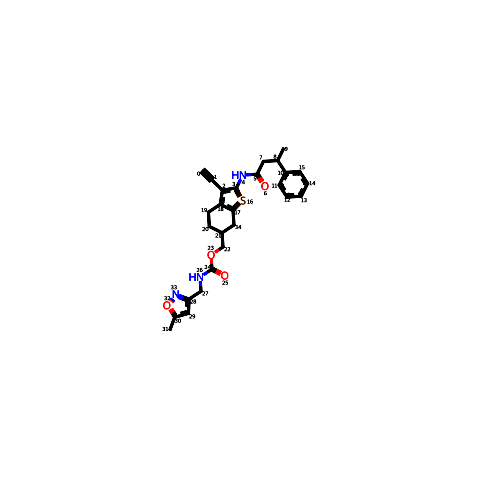 C#Cc1c(NC(=O)CC(C)c2ccccc2)sc2c1CCC(COC(=O)NCc1cc(C)on1)C2